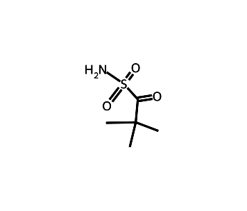 CC(C)(C)C(=O)S(N)(=O)=O